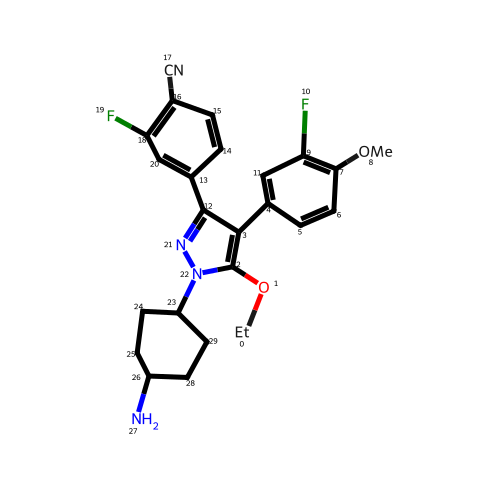 CCOc1c(-c2ccc(OC)c(F)c2)c(-c2ccc(C#N)c(F)c2)nn1C1CCC(N)CC1